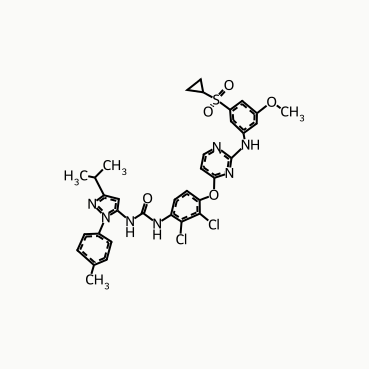 COc1cc(Nc2nccc(Oc3ccc(NC(=O)Nc4cc(C(C)C)nn4-c4ccc(C)cc4)c(Cl)c3Cl)n2)cc(S(=O)(=O)C2CC2)c1